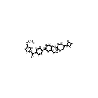 CO[C@H]1CCN(C(=O)c2ccc(-c3ccc4c(c3)COC3(CCN(C5CCC5)CC3)O4)cc2)C1